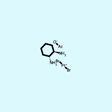 CC(=O)[O-].N[C@@H]1CCCC[C@H]1N.[Br][Pt+][Br]